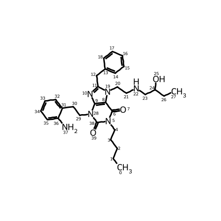 CCCCCn1c(=O)c2c(nc(Cc3ccccc3)n2CCNCC(O)CC)n(CCc2ccccc2N)c1=O